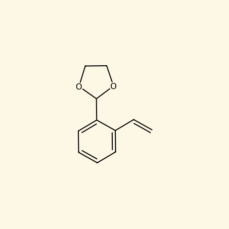 C=Cc1ccccc1C1OCCO1